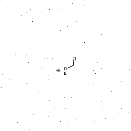 Br.ClCCl.[B]